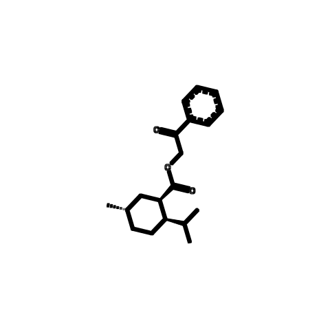 CC(C)[C@H]1CC[C@H](C)C[C@H]1C(=O)OCC(=O)c1ccccc1